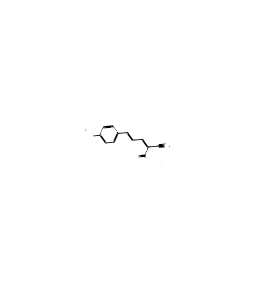 COc1ccc(C=CC=C(C#N)C(=O)O)cc1